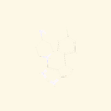 NC1CCN(c2ncnc3scc(-c4ccc(F)cc4)c23)CC1